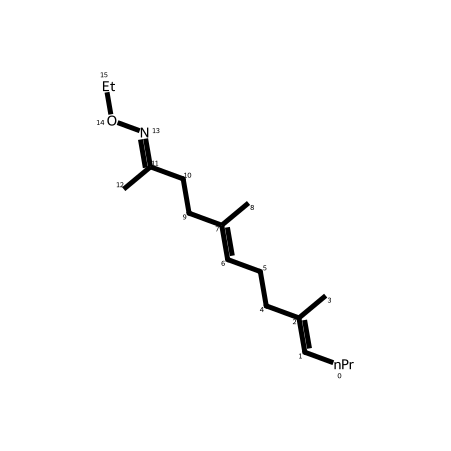 CCC/C=C(\C)CC/C=C(\C)CC/C(C)=N/OCC